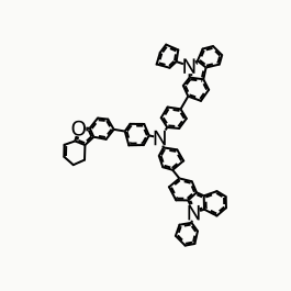 C1=Cc2oc3ccc(-c4ccc(N(c5ccc(-c6ccc7c(c6)c6ccccc6n7-c6ccccc6)cc5)c5ccc(-c6ccc7c8ccccc8n(-c8ccccc8)c7c6)cc5)cc4)cc3c2CC1